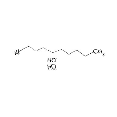 CCCCCCCC[CH2][Al].Cl.Cl